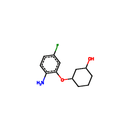 Nc1ccc(F)cc1OC1CCCC(O)C1